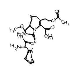 CO[C@]1(NC(=O)C(N)c2cccs2)C(=O)N2C(C(=O)O)=C(COC(C)=O)CSC21